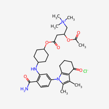 CC(=O)OC(CC(=O)OC1CCC(Nc2cc(-n3c(C)c(C)c4c3CCCC4=O)ccc2C(N)=O)CC1)C[N+](C)(C)C.[Cl-]